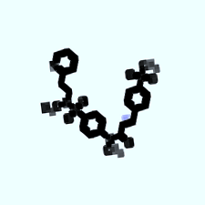 CN(C(=O)/C=C/c1ccc(S(C)(=O)=O)cc1)c1ccc(S(=O)(=O)N(C)CCc2ccccn2)cc1